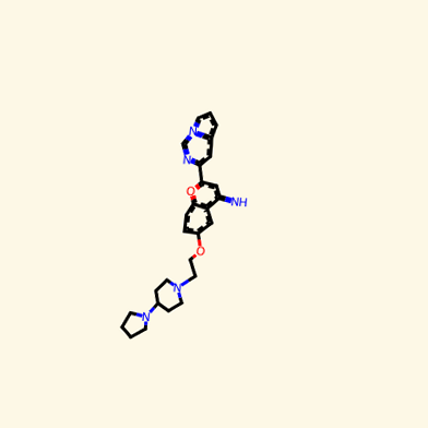 N=c1cc(-c2cc3cccn3cn2)oc2ccc(OCCN3CCC(N4CCCC4)CC3)cc12